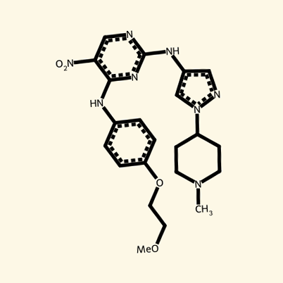 COCCOc1ccc(Nc2nc(Nc3cnn(C4CCN(C)CC4)c3)ncc2[N+](=O)[O-])cc1